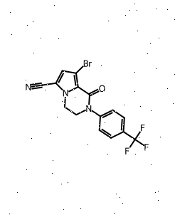 N#Cc1cc(Br)c2n1CCN(c1ccc(C(F)(F)F)cc1)C2=O